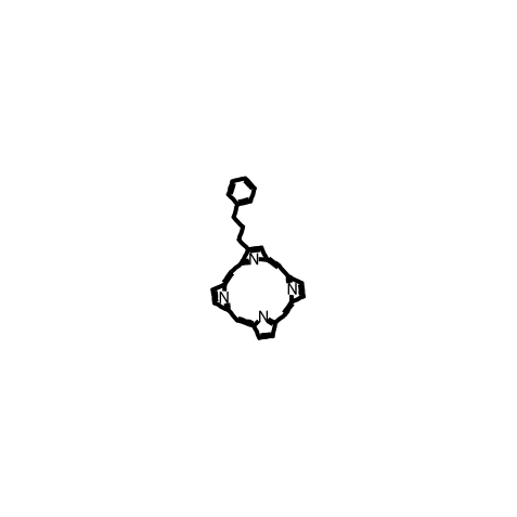 C1=CC2=NC1=CC1=NC(=CC3=NC(=CC4=NC(=C2)C=C4)C=C3CCCc2ccccc2)C=C1